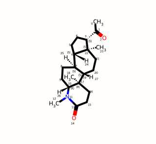 CC(=O)[C@H]1CC[C@H]2[C@@H]3CC[C@H]4N(C)C(=O)CC[C@]4(C)[C@H]3CC[C@]12C